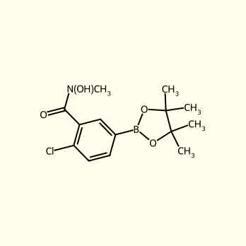 CN(O)C(=O)c1cc(B2OC(C)(C)C(C)(C)O2)ccc1Cl